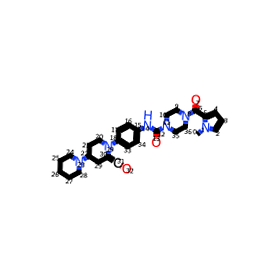 Cn1cccc1C(=O)N1CCN(C(=O)Nc2ccc(N3CCC(N4CCCCC4)CC3=C=O)cc2)CC1